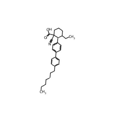 CCCCCCCc1ccc(-c2ccc(C3C(CC)CCCC3(C#N)C(=O)O)cc2)cc1